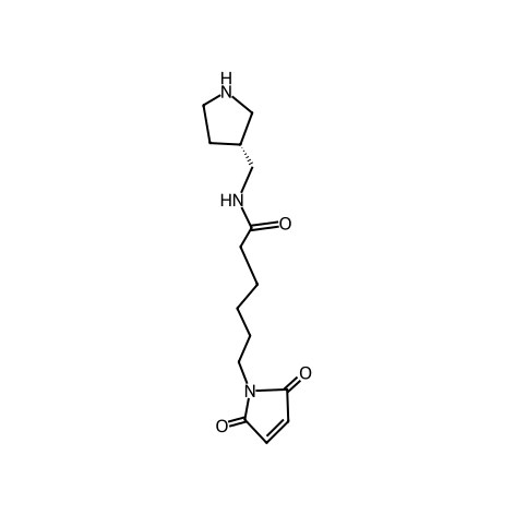 O=C(CCCCCN1C(=O)C=CC1=O)NC[C@@H]1CCNC1